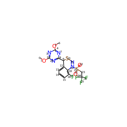 COc1nc(OC)nc(C(SC)c2cccc(F)c2NS(=O)(=O)CC(F)(F)F)n1